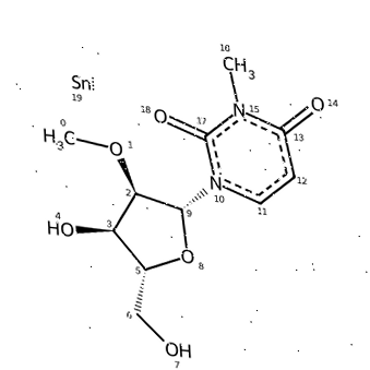 CO[C@@H]1[C@H](O)[C@@H](CO)O[C@H]1n1ccc(=O)n(C)c1=O.[Sn]